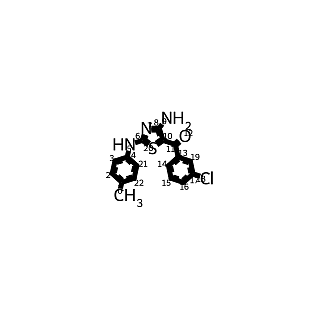 Cc1ccc(Nc2nc(N)c(C(=O)c3cccc(Cl)c3)s2)cc1